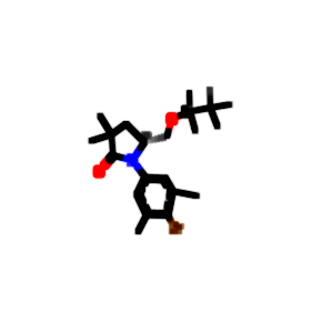 Cc1cc(N2C(=O)C(C)(C)C[C@@H]2CO[Si](C)(C)C(C)(C)C)cc(C)c1Br